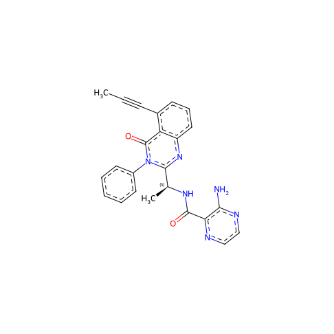 CC#Cc1cccc2nc([C@H](C)NC(=O)c3nccnc3N)n(-c3ccccc3)c(=O)c12